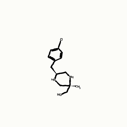 C[C@]1(CO)CN[C@@H](Cc2ccc(Cl)cc2)CN1